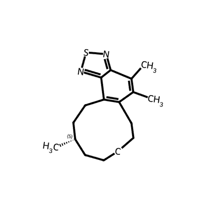 Cc1c2c(c3nsnc3c1C)CC[C@@H](C)CCCCC2